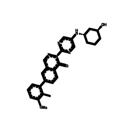 COc1cccc(-c2ccc3c(=O)n(-c4ncc(N[C@H]5CCC[C@H](O)C5)cn4)ncc3c2)c1C